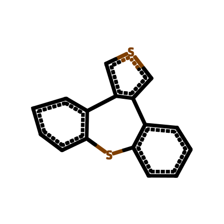 c1ccc2c(c1)Sc1ccccc1-c1cscc1-2